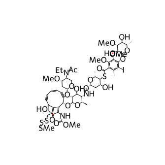 CCN(C(C)=O)[C@H]1CO[C@@H](O[C@H]2[C@H](O[C@H]3C#C/C=C\C#C[C@]4(O)CC(=O)C(NC(=O)OC)=C3C4=CCSSSC)O[C@H](C)[C@@H](NO[C@H]3C[C@H](O)[C@H](SC(=O)c4c(C)c(I)c(O[C@@H]5O[C@@H](C)[C@H](O)[C@@H](OC)[C@H]5O)c(OC)c4OC)[C@@H](C)O3)[C@@H]2O)C[C@@H]1OC